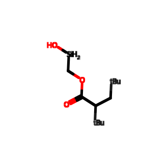 CC(C)(C)CC(C(=O)OC[SiH2]O)C(C)(C)C